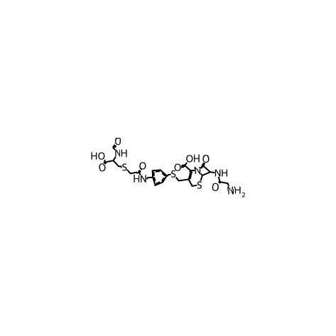 NCC(=O)NC1C(=O)N2C(C(=O)O)=C(CSc3ccc(NC(=O)CSCC(NC=O)C(=O)O)cc3)CSC12